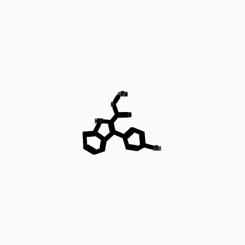 CCCCOC(=O)c1[nH]c2ccccc2c1-c1ccc(C(C)(C)C)cc1